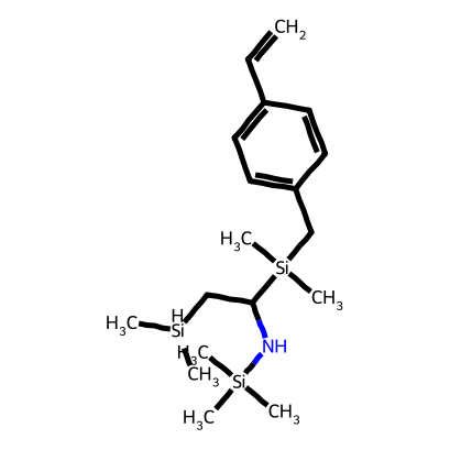 C=Cc1ccc(C[Si](C)(C)C(C[SiH](C)C)N[Si](C)(C)C)cc1